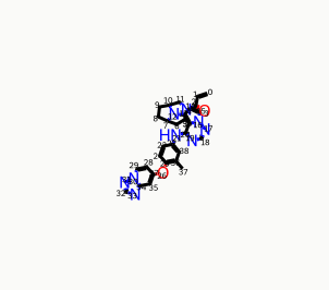 C=CC(=O)N1CCC2CCC(C1)N2c1ccn2ncnc(Nc3ccc(Oc4ccn5ncnc5c4)c(C)c3)c12